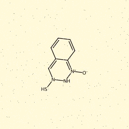 [O-][N+]1=c2ccccc2=CN(S)N1